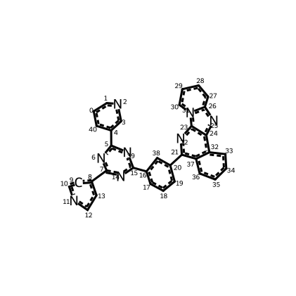 c1cncc(-c2nc(-c3ccncc3)nc(-c3cccc(-c4nc5c(nc6ccccn65)c5ccccc45)c3)n2)c1